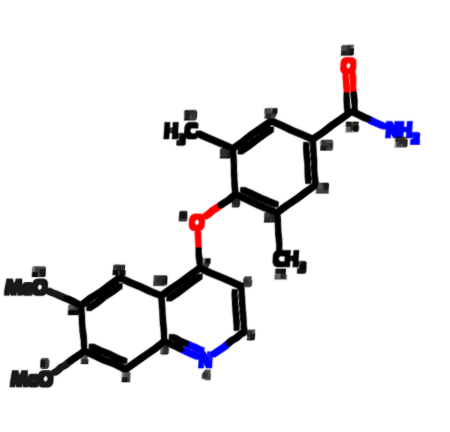 COc1cc2nccc(Oc3c(C)cc(C(N)=O)cc3C)c2cc1OC